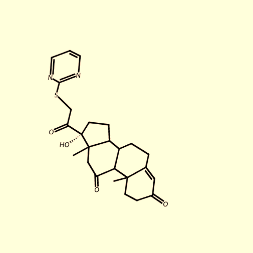 CC12CCC(=O)C=C1CCC1C2C(=O)CC2(C)C1CC[C@]2(O)C(=O)CSc1ncccn1